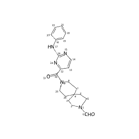 O=CN1CCC2(CC1)CCN(C(=O)c1ccnc(Nc3ccccc3)n1)CC2